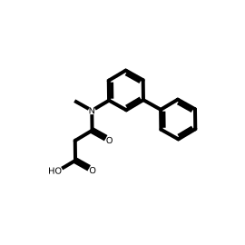 CN(C(=O)CC(=O)O)c1cccc(-c2ccccc2)c1